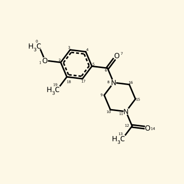 COc1ccc(C(=O)N2CCN(C(C)=O)CC2)cc1C